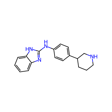 c1ccc2[nH]c(Nc3ccc(C4CCCNC4)cc3)nc2c1